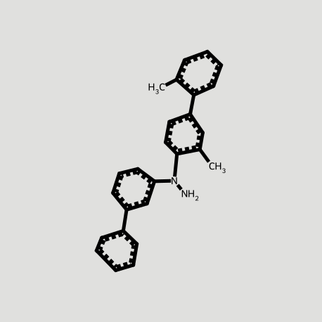 Cc1ccccc1-c1ccc(N(N)c2cccc(-c3ccccc3)c2)c(C)c1